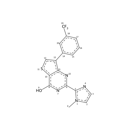 Cn1ccnc1-c1nc(O)c2scc(-c3cccc(C(F)(F)F)c3)c2n1